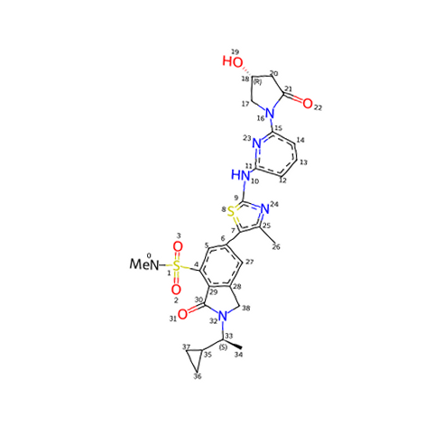 CNS(=O)(=O)c1cc(-c2sc(Nc3cccc(N4C[C@H](O)CC4=O)n3)nc2C)cc2c1C(=O)N([C@@H](C)C1CC1)C2